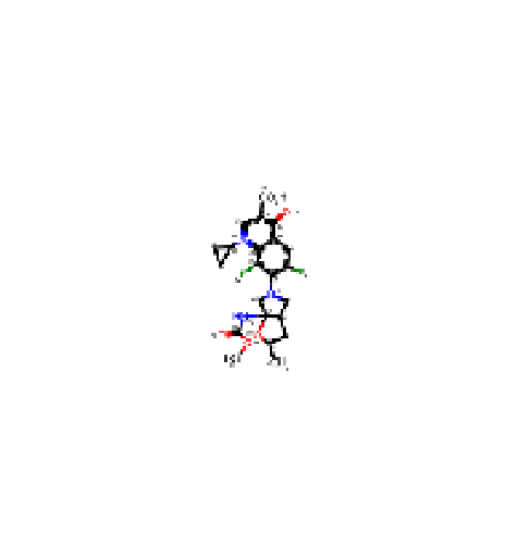 CC1CC2CN(c3c(F)cc4c(=O)c(C(=O)O)cn(C5CC5)c4c3F)CC2(NC(=O)OC(C)(C)C)O1